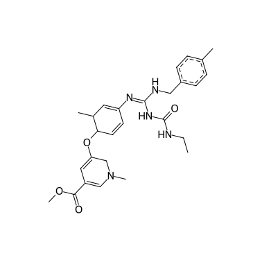 CCNC(=O)N/C(=N\C1=CC(C)C(OC2=CC(C(=O)OC)=CN(C)C2)C=C1)NCc1ccc(C)cc1